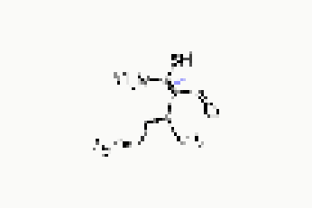 C=CCC(C)/C(C=O)=C(\N)S